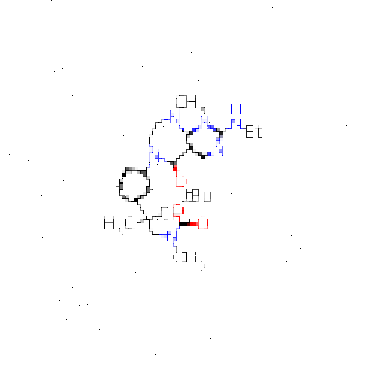 CCNc1ncc2c(n1)N(C)CCN(c1cccc(C(C)(C)CN(C)C(=O)OC(C)(C)C)c1)C2=O